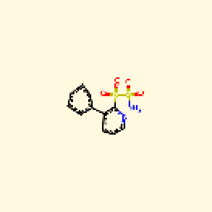 NS(=O)(=O)S(=O)(=O)c1ncccc1-c1ccccc1